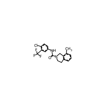 Cc1cccc2c1CN(C(=O)Nc1ccc(Cl)c(C(F)(F)F)c1)CC2